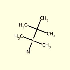 CC(C)(C)[Si](C)(C)[N]